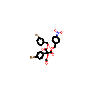 O=[C]OC(C(=O)OCc1ccc([N+](=O)[O-])cc1)(C(=O)OCc1cccc(Br)c1)c1ccc(Br)cc1